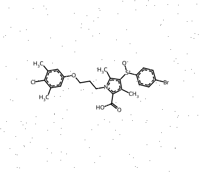 Cc1cc(OCCCn2c(C)c([S+]([O-])c3ccc(Br)cc3)c(C)c2C(=O)O)cc(C)c1Cl